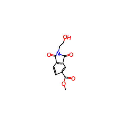 COC(=O)c1ccc2c(c1)C(=O)N(CCO)C2=O